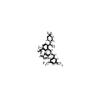 CCC(c1ccc(C(C)(F)F)cc1CN(Cc1cc(C(F)(F)F)cc(C(F)(F)F)c1)c1nnn(C)n1)N1CCC(F)(F)CC1